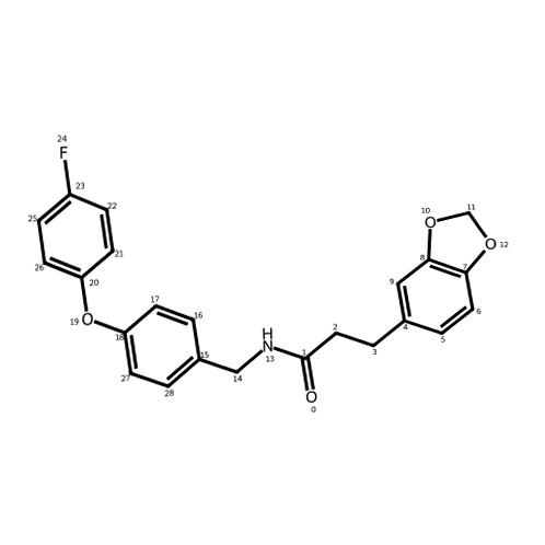 O=C(CCc1ccc2c(c1)OCO2)NCc1ccc(Oc2ccc(F)cc2)cc1